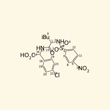 CCC(C)C(NS(=O)(=O)c1ccc([N+](=O)[O-])cc1)C(=O)NC(C(=O)O)c1ccc(Cl)cc1